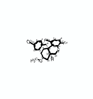 CO[C@@H]1CC[C@@]2(Cc3ccc(Cl)cc3)c3c(F)ccc(F)c3OC[C@H]2C1